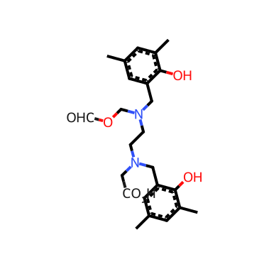 Cc1cc(C)c(O)c(CN(CCN(CC(=O)O)Cc2cc(C)cc(C)c2O)COC=O)c1